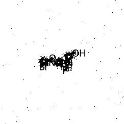 O=C(Nc1ccc(-n2c(C(F)(F)F)nc3cc(CO)ccc32)cc1)c1cccc(Br)c1